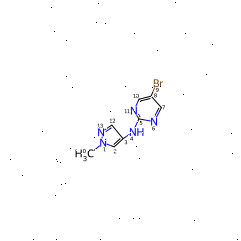 Cn1cc(Nc2ncc(Br)cn2)cn1